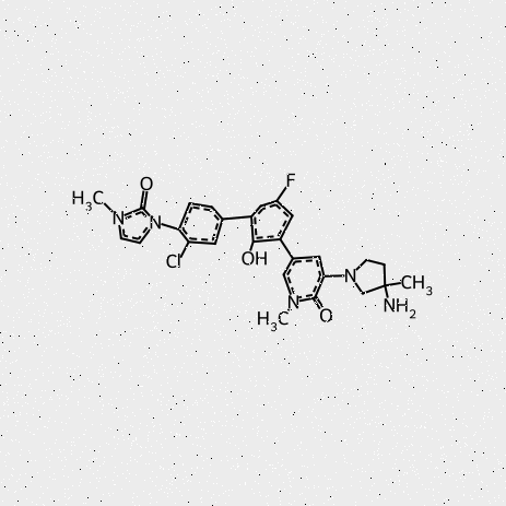 Cn1cc(-c2cc(F)cc(-c3ccc(-n4ccn(C)c4=O)c(Cl)c3)c2O)cc(N2CCC(C)(N)C2)c1=O